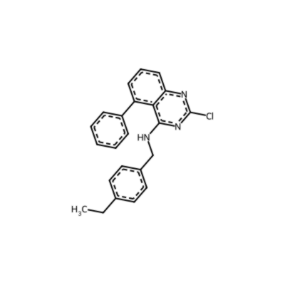 CCc1ccc(CNc2nc(Cl)nc3cccc(-c4ccccc4)c23)cc1